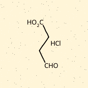 Cl.O=CCCC(=O)O